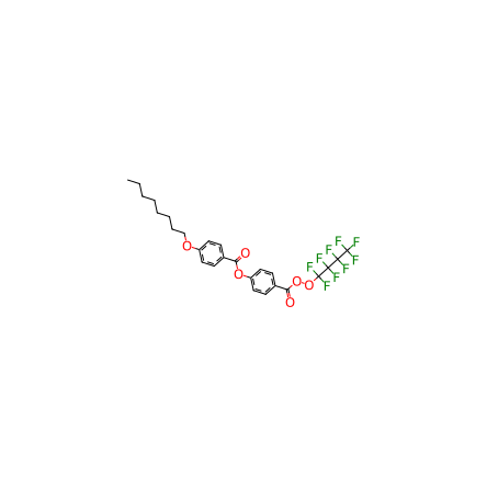 CCCCCCCCOc1ccc(C(=O)Oc2ccc(C(=O)OOC(F)(F)C(F)(F)C(F)(F)C(F)(F)F)cc2)cc1